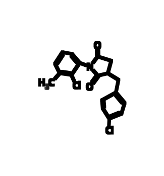 Cc1cccc(N2C(=O)CC(Cc3ccc(Cl)cc3)C2=O)c1Cl